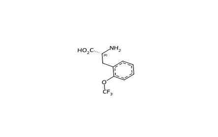 N[C@H](Cc1ccccc1OC(F)(F)F)C(=O)O